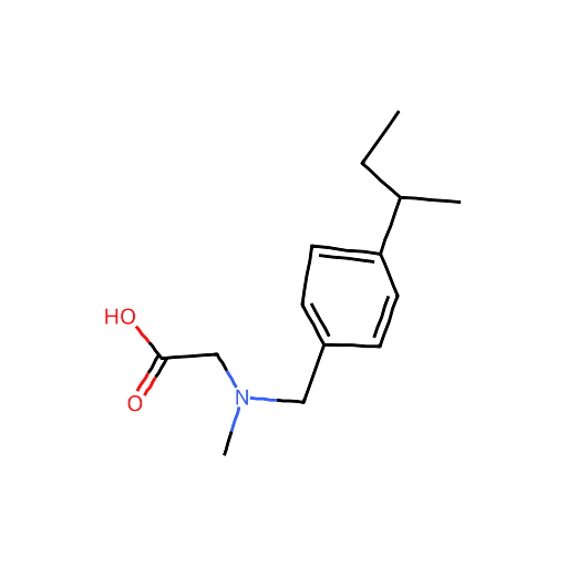 CCC(C)c1ccc(CN(C)CC(=O)O)cc1